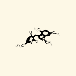 Cc1cc(OC(F)(F)F)cc2c1c(Cc1c(Cl)cc(C(=O)O)nc1Cl)cn2C